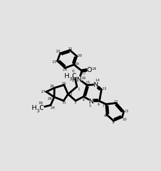 CCC1(Cc2nc(-c3ccccc3)cnc2NC(=O)c2ccccc2)CC2CC2(CC)C1